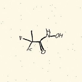 CC(=O)C(C)(F)C(=O)NO